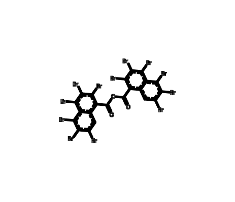 O=C(OC(=O)c1c(Br)c(Br)c(Br)c2c(Br)c(Br)c(Br)cc12)c1c(Br)c(Br)c(Br)c2c(Br)c(Br)c(Br)cc12